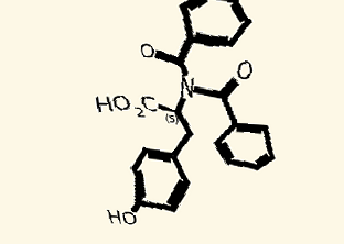 O=C(O)[C@H](Cc1ccc(O)cc1)N(C(=O)c1ccccc1)C(=O)c1ccccc1